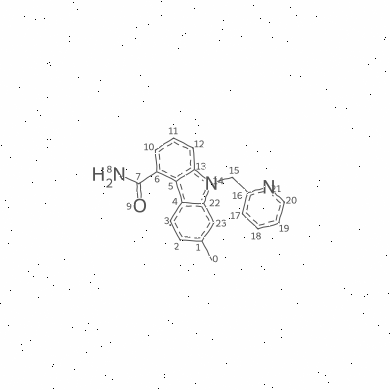 Cc1c[c]c2c3c(C(N)=O)cccc3n(Cc3ccccn3)c2c1